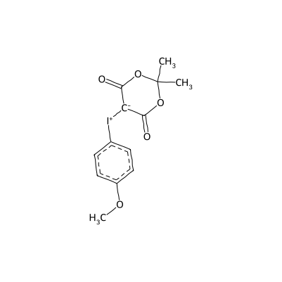 COc1ccc([I+][C-]2C(=O)OC(C)(C)OC2=O)cc1